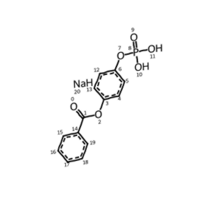 O=C(Oc1ccc(OP(=O)(O)O)cc1)c1ccccc1.[NaH]